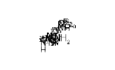 Cc1ccc(C(=O)NCc2ccc(-c3nn([C@@H]4CCCNC4)c4ncnc(N)c34)cc2)c(F)c1